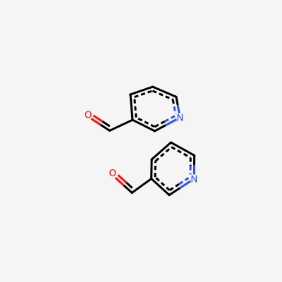 O=Cc1cccnc1.O=Cc1cccnc1